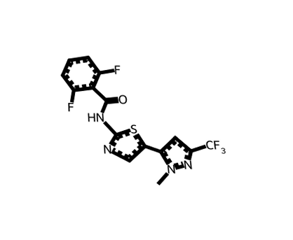 Cn1nc(C(F)(F)F)cc1-c1cnc(NC(=O)c2c(F)cccc2F)s1